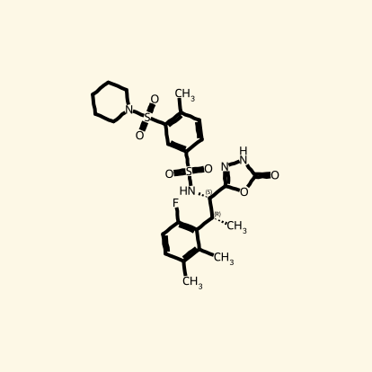 Cc1ccc(S(=O)(=O)N[C@H](c2n[nH]c(=O)o2)[C@H](C)c2c(F)ccc(C)c2C)cc1S(=O)(=O)N1CCCCC1